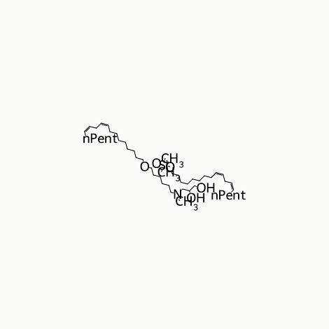 CCCCC/C=C\C/C=C\CCCCCCCCOC(CCCCCN(C)CC(O)CO)O[Si](C)(C)OCCCCCCCC/C=C\C/C=C\CCCCC